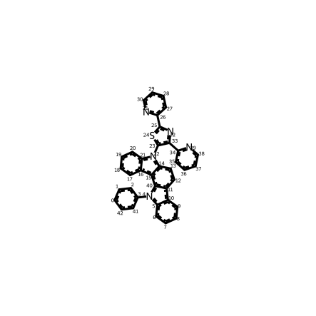 c1ccc(-n2c3ccccc3c3ccc4c(c5ccccc5n4-c4sc(-c5ccccn5)nc4-c4ccccn4)c32)cc1